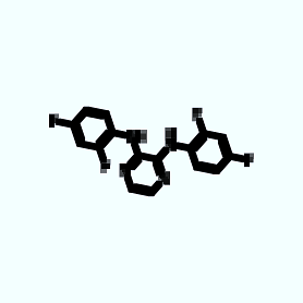 Fc1ccc(Nc2nccnc2Nc2ccc(F)cc2F)c(F)c1